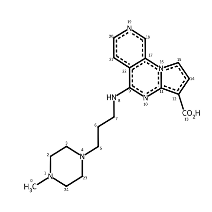 CN1CCN(CCCNc2nc3c(C(=O)O)ccn3c3cnccc23)CC1